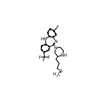 COCCCC1CN(C2=Nc3cc(F)ccc3Nc3ccc(C(F)(F)F)cc32)CCN1